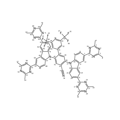 Cc1nc(C)nc(-c2ccc3c(c2)c2cc(-c4nc(C)nc(C)n4)ccc2n3-c2cc(-c3cc(C(F)(F)F)cc(C(F)(F)F)c3)c(-n3c4ccc(-c5nc(C)nc(C)n5)cc4c4cc(-c5nc(C)nc(C)n5)ccc43)cc2C#N)n1